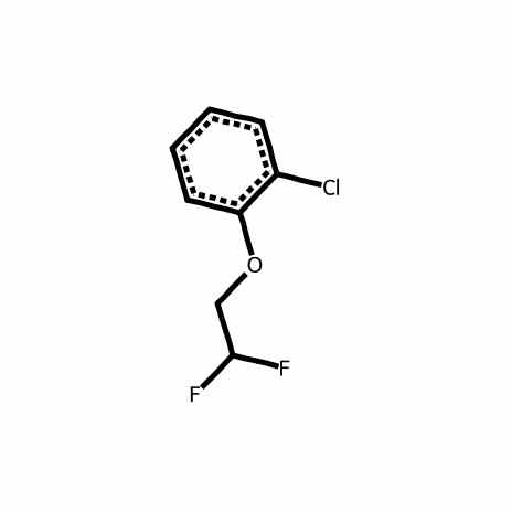 FC(F)COc1ccccc1Cl